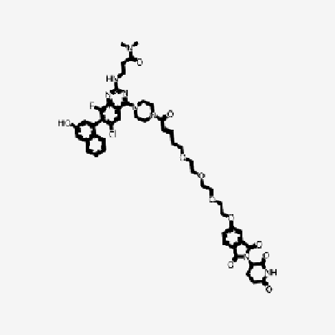 CN(C)C(=O)CCNc1nc(N2CCN(C(=O)/C=C/CCOCCOCCOCCOc3ccc4c(c3)C(=O)N(C3CCC(=O)NC3=O)C4=O)CC2)c2cc(Cl)c(-c3cc(O)cc4ccccc34)c(F)c2n1